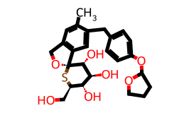 Cc1cc2c(cc1Cc1ccc(OC3CCCO3)cc1)[C@]1(OC2)S[C@H](CO)[C@@H](O)[C@H](O)[C@H]1O